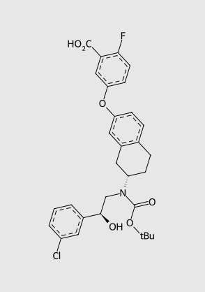 CC(C)(C)OC(=O)N(C[C@@H](O)c1cccc(Cl)c1)[C@H]1CCc2ccc(Oc3ccc(F)c(C(=O)O)c3)cc2C1